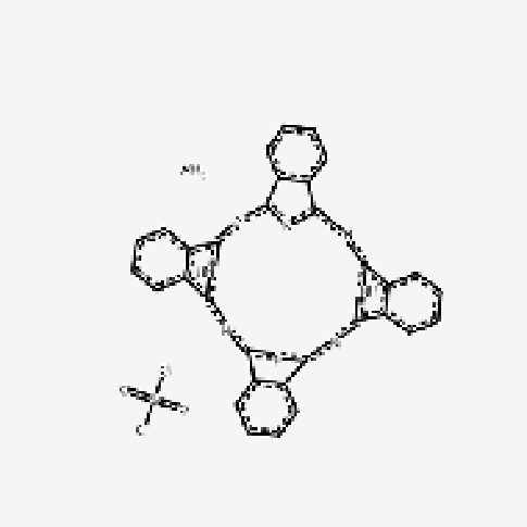 O=S(=O)(Cl)Cl.[AlH3].c1ccc2c(c1)-c1nc-2nc2[nH]c(nc3nc(nc4[nH]c(n1)c1ccccc41)-c1ccccc1-3)c1ccccc21